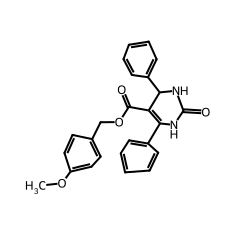 COc1ccc(COC(=O)C2=C(c3ccccc3)NC(=O)NC2c2ccccc2)cc1